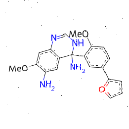 COc1cc2c(cc1N)C(N)(c1cc(-c3ccco3)ccc1OC)NC=N2